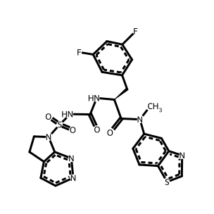 CN(C(=O)[C@H](Cc1cc(F)cc(F)c1)NC(=O)NS(=O)(=O)N1CCc2ccnnc21)c1ccc2scnc2c1